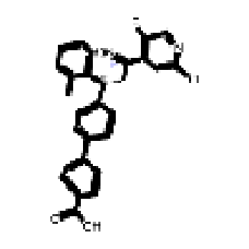 Cc1ccccc1[C@H](C/C(=N\O)c1cc(Cl)ncc1F)c1ccc(-c2ccc(C(=O)O)cc2)cc1